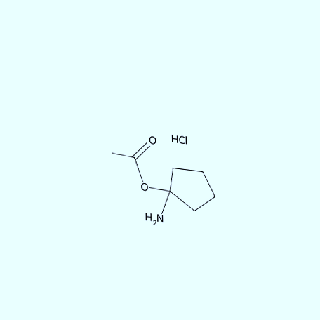 CC(=O)OC1(N)CCCC1.Cl